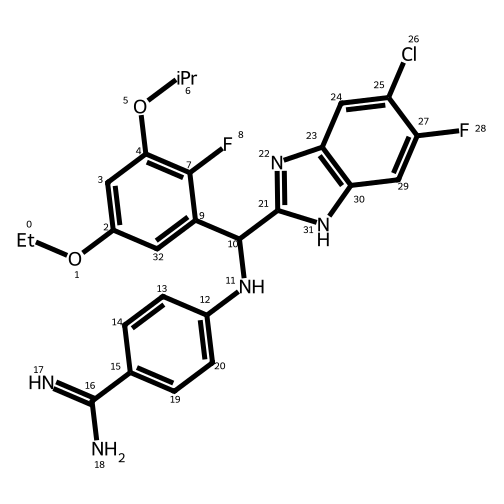 CCOc1cc(OC(C)C)c(F)c(C(Nc2ccc(C(=N)N)cc2)c2nc3cc(Cl)c(F)cc3[nH]2)c1